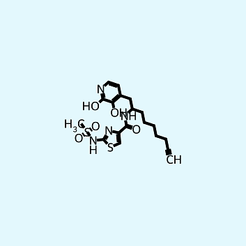 C#CCCCCCC(Cc1ccnc(O)c1O)NC(=O)c1csc(NS(C)(=O)=O)n1